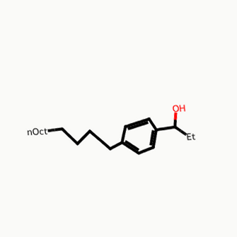 CCCCCCCCCCCCc1ccc(C(O)CC)cc1